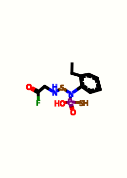 CCc1ccccc1N(SNCC(=O)F)P(=O)(O)S